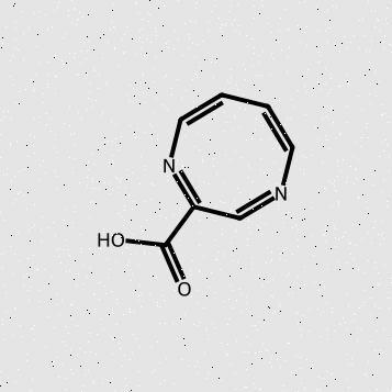 O=C(O)C1=N/C=C\C=C/N=C\1